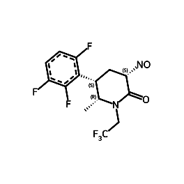 C[C@@H]1[C@H](c2c(F)ccc(F)c2F)C[C@H](N=O)C(=O)N1CC(F)(F)F